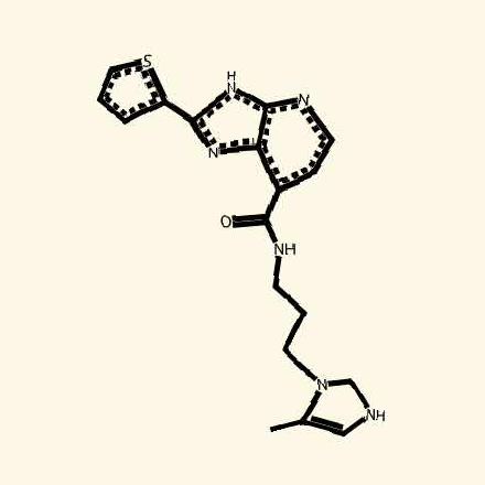 CC1=CNCN1CCCNC(=O)c1ccnc2[nH]c(-c3cccs3)nc12